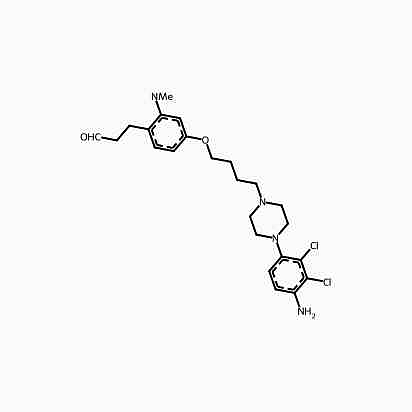 CNc1cc(OCCCCN2CCN(c3ccc(N)c(Cl)c3Cl)CC2)ccc1CCC=O